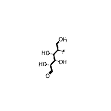 O=C[C@H](O)[C@@H](O)[C@H](O)[C@H](F)CO